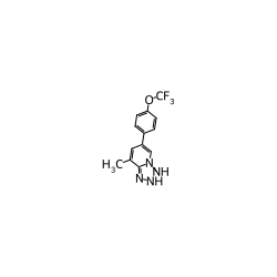 CC1=CC(c2ccc(OC(F)(F)F)cc2)=CN2NNN=C12